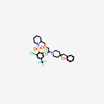 O=C(COCC1CCCCN1S(=O)(=O)c1c(Cl)cc(C(F)(F)F)cc1Cl)N1CCC(O)(Cc2ccccc2)CC1